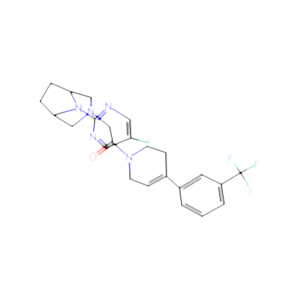 O=C(CN1CC2CCC(C1)N2c1ncc(F)cn1)N1CC=C(c2cccc(C(F)(F)F)c2)CC1